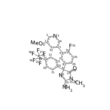 COc1cncc(-c2cc(C3(c4ccc(S(F)(F)(F)(F)F)cc4)N=C(N)N(C)C3=O)ccc2F)c1